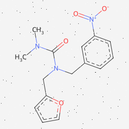 CN(C)C(=O)N(Cc1cccc([N+](=O)[O-])c1)Cc1ccco1